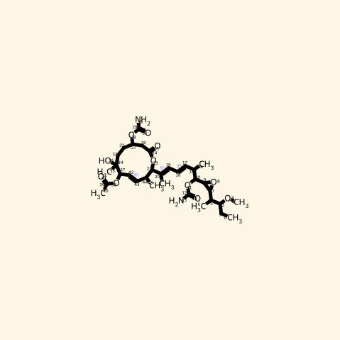 CCC(OC)C(C)C1OC1C(OC(N)=O)C(C)/C=C/C=C(\C)C1OC(=O)CC(OC(N)=O)CCC(C)(O)C(OC(C)=O)/C=C/C1C